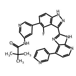 CC(C)(C)C(=O)Nc1cncc(-c2ccc3[nH]nc(-c4nc5c(-c6cccnc6)ccnc5[nH]4)c3c2F)c1